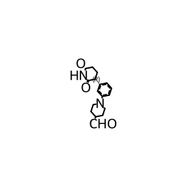 O=CC1CCN(c2cccc([C@H]3CCC(=O)NC3=O)c2)CC1